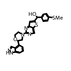 CSc1ccc(C(O)c2cc3nc(N4CCOC(c5cccc6[nH]ncc56)C4)ncc3s2)cc1